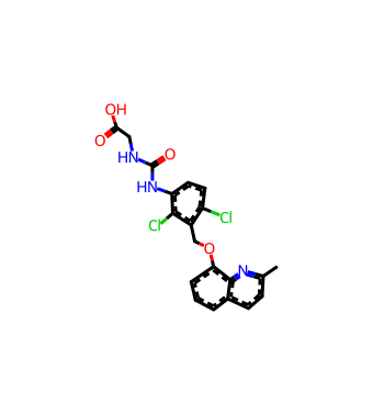 Cc1ccc2cccc(OCc3c(Cl)ccc(NC(=O)NCC(=O)O)c3Cl)c2n1